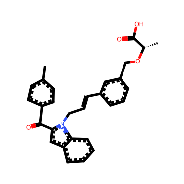 Cc1ccc(C(=O)c2cc3ccccc3n2C/C=C/c2cccc(CO[C@@H](C)C(=O)O)c2)cc1